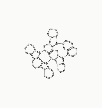 c1ccc(-n2c3ccccc3c3cc(-n4c5ccccc5c5ccc6c7ccccc7n(-c7cccc8c7c7ccccc7n8-c7ccccc7)c6c54)ccc32)cc1